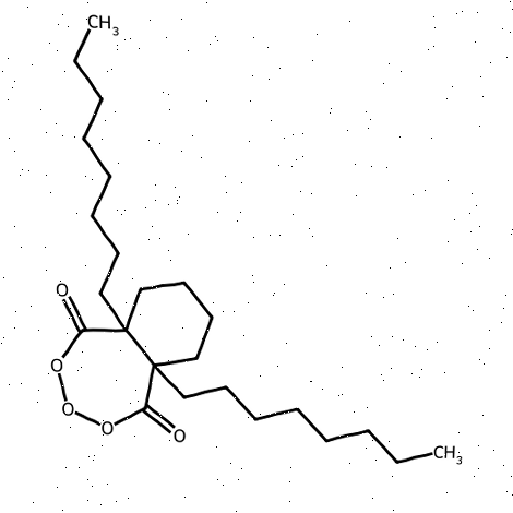 CCCCCCCCC12CCCCC1(CCCCCCCC)C(=O)OOOC2=O